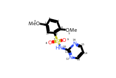 COc1ccc(OC)c(S(=O)(=O)Nc2ncccn2)c1